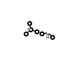 c1ccc(-c2cc(-c3ccccc3)nc(-c3ccccc3)c2)cc1.c1ccc(CNCc2ccccc2)cc1